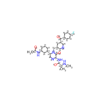 CN[C@@H](C)C(=O)Nc1ncc(-c2cccc(NC(C)=O)c2)n(Cc2cncc(C(=O)c3ccc(F)cc3)c2)c1=O